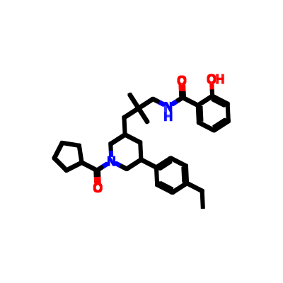 CCc1ccc(C2CC(CC(C)(C)CNC(=O)c3ccccc3O)CN(C(=O)C3CCCC3)C2)cc1